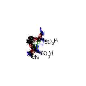 C/N=C/c1cncc(COc2cc(OCc3cccc(-c4cccc(COc5cc(OCc6cncc(C#N)c6)c(CNC/C=C/C(=O)O)cc5Cl)c4C)c3C)c(Cl)cc2CNC/C=C/C(=O)O)c1